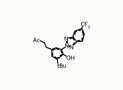 CC(=O)CCc1cc(-n2nc3ccc(C(F)(F)F)cc3n2)c(O)c(C(C)(C)C)c1